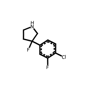 Fc1cc(C2(F)CCNC2)ccc1Cl